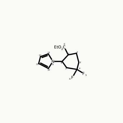 CCOC(=O)C1CCC(F)(F)CC1n1cccc1